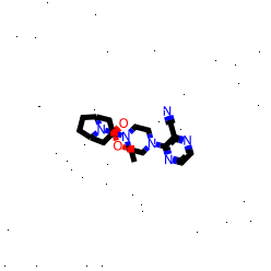 CCOC(=O)N1C2CCC1CC(N1CCN(c3nccnc3C#N)CC1)C2